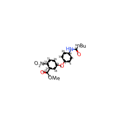 CCCCC(=O)Nc1ccc(Oc2ccc([N+](=O)[O-])c(C(=O)OC)c2)cc1